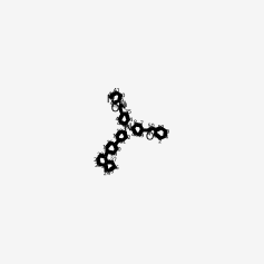 c1ccc2oc(-c3ccc(N(c4ccc(-c5ccc(-c6cccc7ccccc67)cc5)cc4)c4ccc(-c5nc6cccnc6o5)cc4)cc3)cc2c1